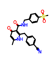 Cc1cc(=O)c(C(=O)NCc2ccc(S(C)(=O)=O)cc2)c(Cc2ccc(C#N)cc2)[nH]1